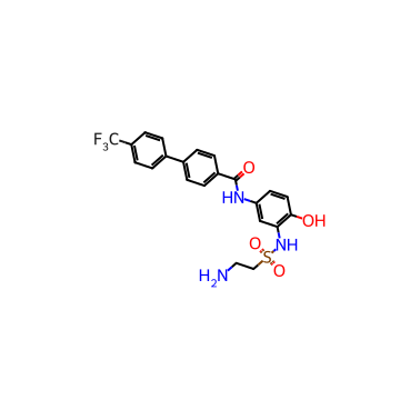 NCCS(=O)(=O)Nc1cc(NC(=O)c2ccc(-c3ccc(C(F)(F)F)cc3)cc2)ccc1O